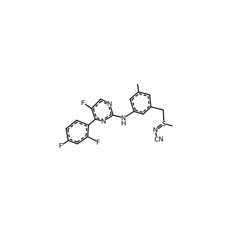 Cc1cc(CS(C)=NC#N)cc(Nc2ncc(F)c(-c3ccc(F)cc3F)n2)c1